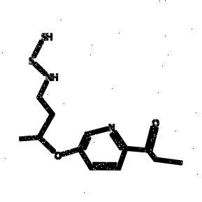 CCC(=O)c1ccc(OC(C)CCNSS)cn1